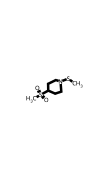 CSN1CCC(S(C)(=O)=O)CC1